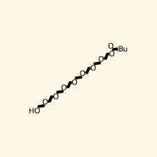 CCC(C)C(=O)OCCOCCOCCOCCOCCOCCOCCOCCO